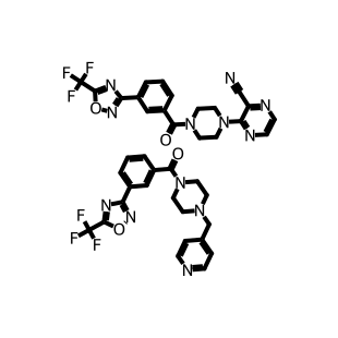 N#Cc1nccnc1N1CCN(C(=O)c2cccc(-c3noc(C(F)(F)F)n3)c2)CC1.O=C(c1cccc(-c2noc(C(F)(F)F)n2)c1)N1CCN(Cc2ccncc2)CC1